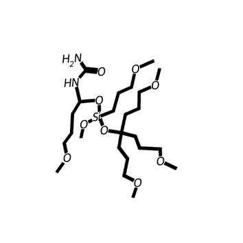 COCCCC(NC(N)=O)O[Si](CCCOC)(OC)OC(CCCOC)(CCCOC)CCCOC